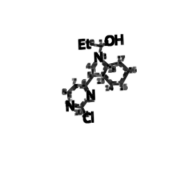 CCC(O)n1cc(-c2ccnc(Cl)n2)c2ccccc21